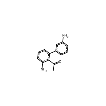 CC(=O)c1c(N)cccc1-c1cccc(N)c1